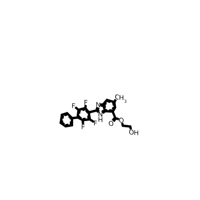 Cc1cc(C(=O)OCCO)c2[nH]c(-c3c(F)c(F)c(-c4ccccc4)c(F)c3F)nc2c1